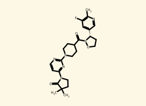 Cc1ncc([C@@H]2CCON2C(=O)C2CCN(c3nccc(N4CCC(C)(C)C4=O)n3)CC2)cc1F